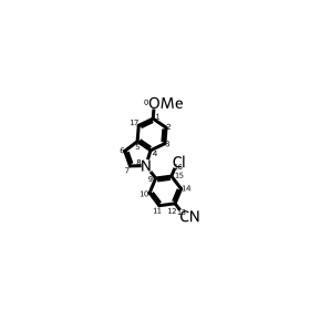 COc1ccc2c(ccn2-c2ccc(C#N)cc2Cl)c1